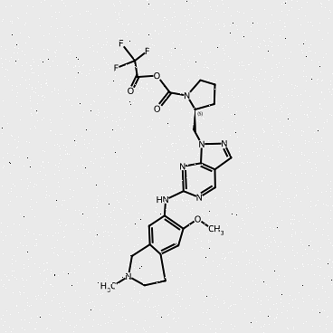 COc1cc2c(cc1Nc1ncc3cnn(C[C@@H]4CCCN4C(=O)OC(=O)C(F)(F)F)c3n1)CN(C)CC2